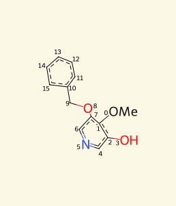 COc1c(O)cncc1OCc1ccccc1